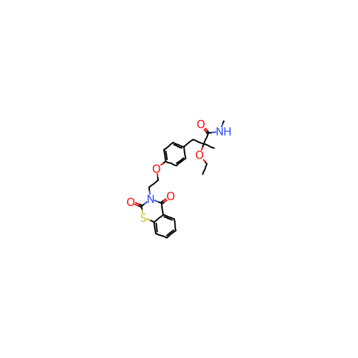 CCOC(C)(Cc1ccc(OCCn2c(=O)sc3ccccc3c2=O)cc1)C(=O)NC